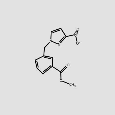 COC(=O)c1cccc(Cn2ccc([N+](=O)[O-])n2)c1